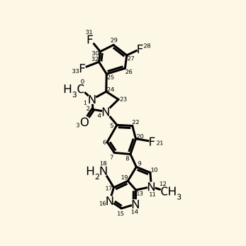 CN1C(=O)N(c2ccc(-c3cn(C)c4ncnc(N)c34)c(F)c2)CC1c1cc(F)cc(F)c1F